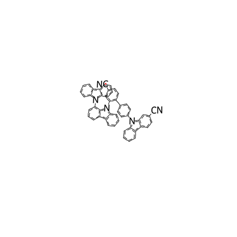 N#Cc1ccc(-c2ccc(-n3c4ccccc4c4ccc(C#N)cc43)cc2)c(-n2c3ccccc3c3cccc(-n4c5ccccc5c5ccccc54)c32)c1